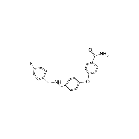 NC(=O)c1ccc(Oc2ccc(CNCc3ccc(F)cc3)cc2)cc1